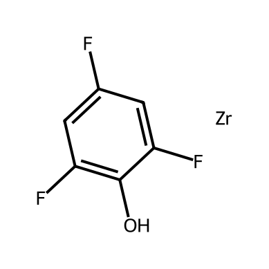 Oc1c(F)cc(F)cc1F.[Zr]